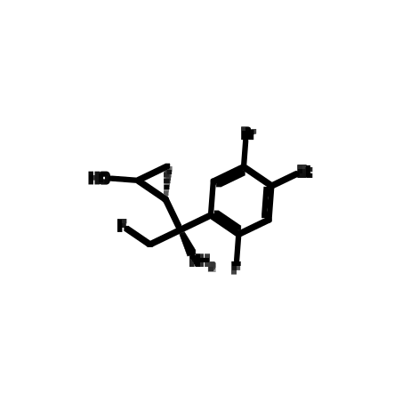 CCc1cc(F)c([C@](N)(CF)[C@H]2CC2O)cc1Br